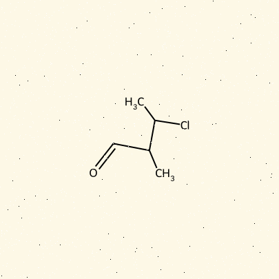 CC(Cl)C(C)C=O